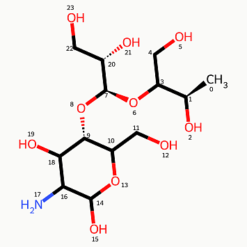 C[C@@H](O)C(CO)O[C@@H](O[C@@H]1C(CO)OC(O)C(N)C1O)[C@@H](O)CO